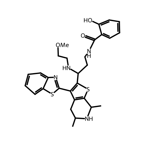 COCCNC(CCNC(=O)c1ccccc1O)c1sc2c(c1-c1nc3ccccc3s1)CC(C)NC2C